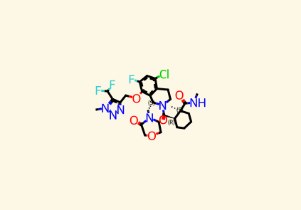 CNC(=O)[C@@]1(C)CCCC[C@H]1C(=O)N1CCc2c(Cl)cc(F)c(OCc3nnn(C)c3C(F)F)c2[C@H]1CN1CCOCC1=O